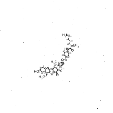 CCc1c2c(nc3ccc(O)cc13)-c1cc3c(c(=O)n1C2)CCC(=O)C3(CC)OC(=O)OCc1ccc(NC(=O)C(C)CCCCN)cc1